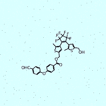 Cc1sc(CO)cc1C1=C(c2cc(COC(=O)c3ccc(Oc4ccc(C=O)cc4)cc3)sc2C)C(F)(F)C(F)(F)C1(F)F